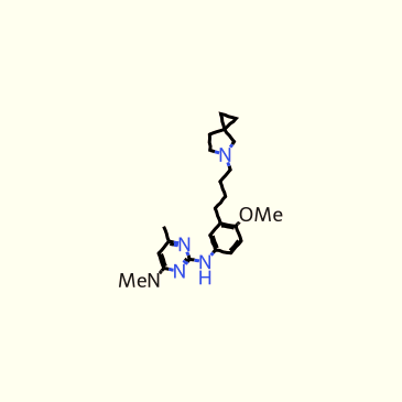 CNc1cc(C)nc(Nc2ccc(OC)c(CCCCN3CCC4(CC4)C3)c2)n1